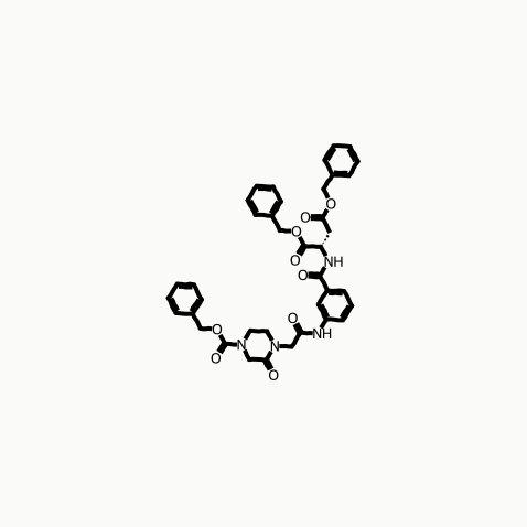 O=C(CN1CCN(C(=O)OCc2ccccc2)CC1=O)Nc1cccc(C(=O)N[C@@H](CC(=O)OCc2ccccc2)C(=O)OCc2ccccc2)c1